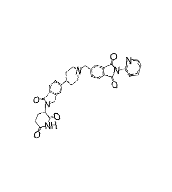 O=C1CCC(N2Cc3cc(C4CCN(Cc5ccc6c(c5)C(=O)N(c5ccccn5)C6=O)CC4)ccc3C2=O)C(=O)N1